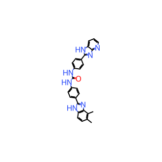 Cc1ccc2[nH]c(-c3ccc(NC(=O)Nc4ccc(-c5nc6ncccc6[nH]5)cc4)cc3)nc2c1C